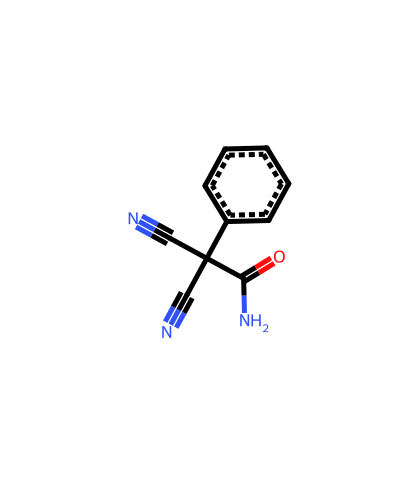 N#CC(C#N)(C(N)=O)c1ccccc1